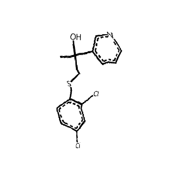 CC(O)(CSc1ccc(Cl)cc1Cl)c1cccnc1